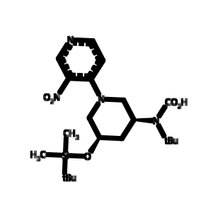 CC(C)(C)N(C(=O)O)[C@H]1C[C@@H](O[Si](C)(C)C(C)(C)C)CN(c2ccncc2[N+](=O)[O-])C1